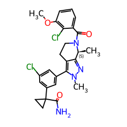 COc1cccc(C(=O)N2CCc3c(nn(C)c3-c3cc(Cl)cc(C4(C(N)=O)CC4)c3)[C@@H]2C)c1Cl